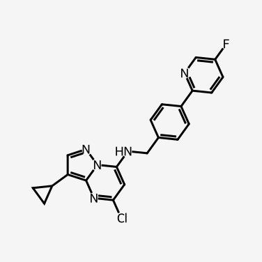 Fc1ccc(-c2ccc(CNc3cc(Cl)nc4c(C5CC5)cnn34)cc2)nc1